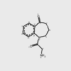 NCC(=O)N1CCCC(=O)c2ccccc21